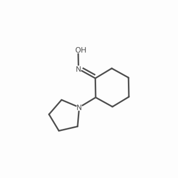 ON=C1CCCCC1N1CCCC1